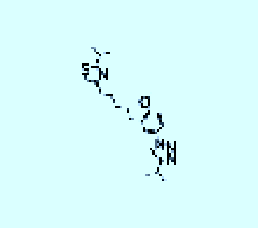 COc1ccc(-n2nnc(C(C)C)n2)cc1CCCCCc1csc(C(C)C)n1